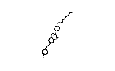 CCCCCCCO[C@H]1CC[C@H](C(=O)Oc2ccc(CCc3ccc(F)cc3)cc2F)CC1